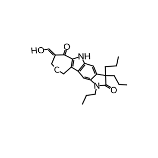 CCCN1C(=O)C(CCC)(CCC)c2cc3[nH]c4c(c3cc21)CCC/C(=C\O)C4=O